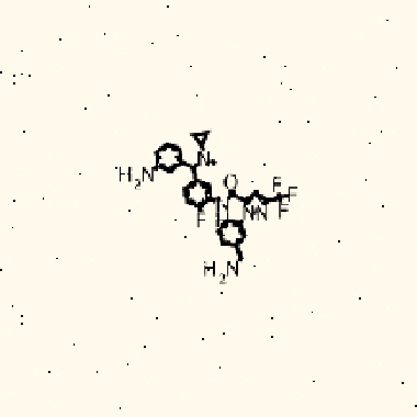 CN(C1CC1)C(c1cccc(N)c1)c1ccc(F)c(NC(=O)c2cc(C(F)(F)F)nn2-c2cccc(CN)c2)c1